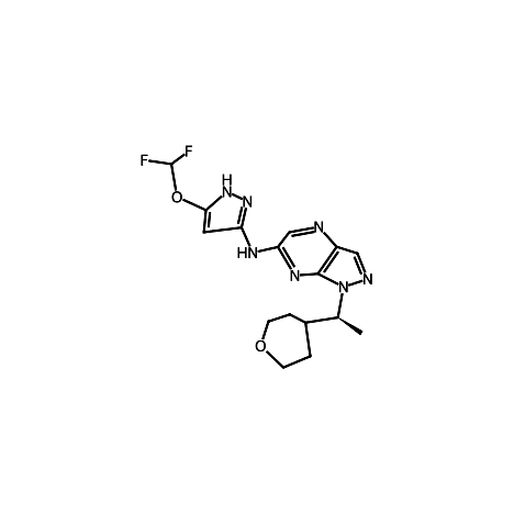 C[C@@H](C1CCOCC1)n1ncc2ncc(Nc3cc(OC(F)F)[nH]n3)nc21